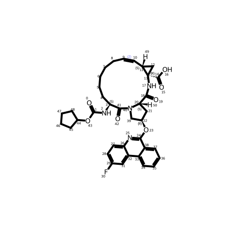 O=C(N[C@H]1CCCCC/C=C\[C@@H]2C[C@@]2(C(=O)O)NC(=O)[C@@H]2C[C@@H](Oc3nc4ccc(F)cc4c4ccccc34)CN2C1=O)OC1CCCC1